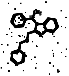 C[C@H](c1ccccc1)n1c(COCc2ccncc2)nc2ccccc21